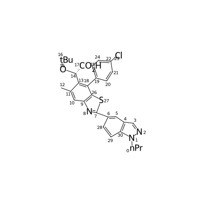 CCCn1ncc2cc(-c3nc4cc(C)c([C@H](OC(C)(C)C)C(=O)O)c(-c5ccc(Cl)cc5)c4s3)ccc21